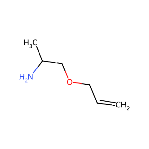 C=CCOCC(C)N